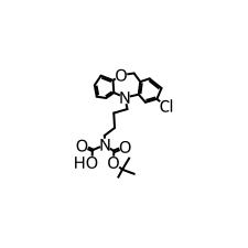 CC(C)(C)OC(=O)N(CCCCN1c2cc(Cl)ccc2COc2ccccc21)C(=O)O